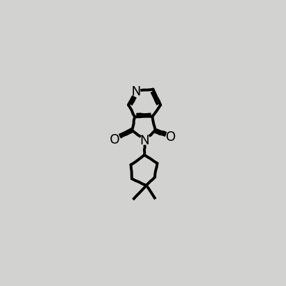 CC1(C)CCC(N2C(=O)c3ccncc3C2=O)CC1